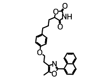 Cc1oc(-c2cccc3ccccc23)nc1CCOc1ccc(CCCC2OC(=O)NC2=O)cc1